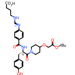 CC(C)(C)OC(=O)COC1CCN(C(=O)[C@H](Cc2ccc(O)cc2)NC(=O)c2ccc(/N=C/NCCCC(=O)O)cc2)CC1